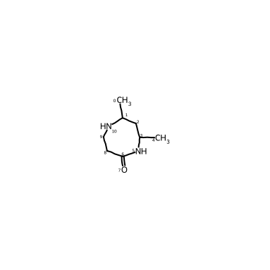 CC1CC(C)NC(=O)CCN1